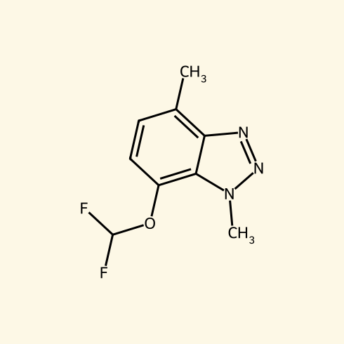 Cc1ccc(OC(F)F)c2c1nnn2C